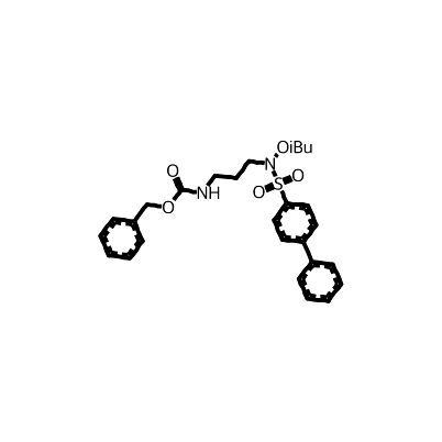 CC(C)CON(CCCNC(=O)OCc1ccccc1)S(=O)(=O)c1ccc(-c2ccccc2)cc1